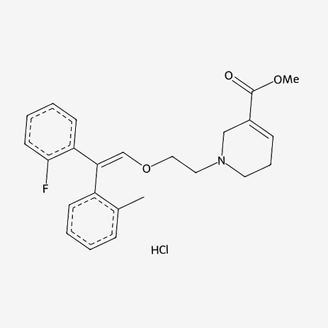 COC(=O)C1=CCCN(CCO/C=C(\c2ccccc2C)c2ccccc2F)C1.Cl